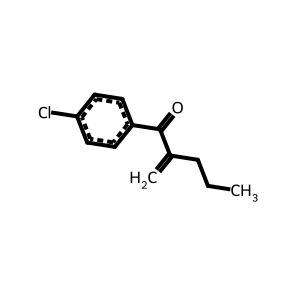 C=C(CCC)C(=O)c1ccc(Cl)cc1